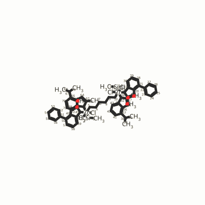 C[SiH2][Zr]([Cl])([Cl])([CH2]CCCC[CH2][Zr]([Cl])([Cl])([SiH2]C)([CH]1C(C)=Cc2c(-c3ccccc3)cccc21)[CH]1C(C)=Cc2c(C(C)C)cccc21)([CH]1C(C)=Cc2c(-c3ccccc3)cccc21)[CH]1C(C)=Cc2c(C(C)C)cccc21